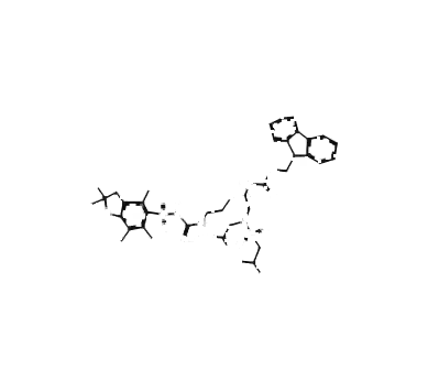 Cc1c(C)c(S(=O)(=O)NC(=N)NCCC[C@@H](CN(CC(=O)O)S(=O)(=O)CC(C)C)NC(=O)OCC2c3ccccc3-c3ccccc32)c(C)c2c1OC(C)(C)C2